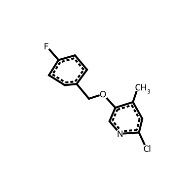 Cc1cc(Cl)ncc1OCc1ccc(F)cc1